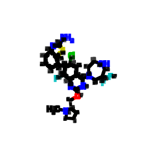 CN1CCC[C@H]1COc1nc(N2CCNCC(F)(F)C2)c2cc(Cl)c(-c3cccc4nc(N)sc34)c(F)c2n1